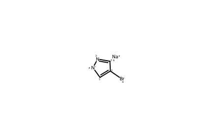 Brc1cn[n-]c1.[Na+]